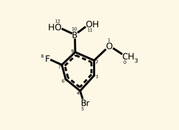 COc1cc(Br)cc(F)c1B(O)O